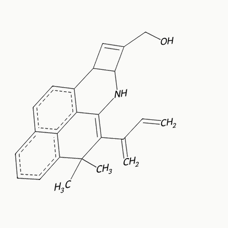 C=CC(=C)C1=C2NC3C(CO)=CC3c3ccc4cccc(c4c32)C1(C)C